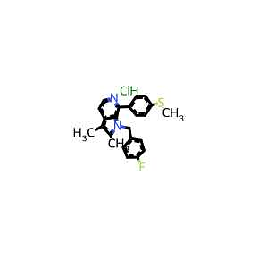 CSc1ccc(-c2nccc3c(C)c(C)n(Cc4ccc(F)cc4)c23)cc1.Cl